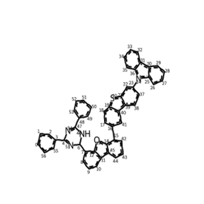 c1ccc(C2=NC(c3cccc4c3oc3c(-c5ccc6sc7cc(-n8c9ccccc9c9ccccc98)ccc7c6c5)cccc34)NC(c3ccccc3)=N2)cc1